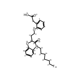 O=C(O)Cc1ccccc1OCCC1Oc2ccccc2N(CCCCCCF)C1=O